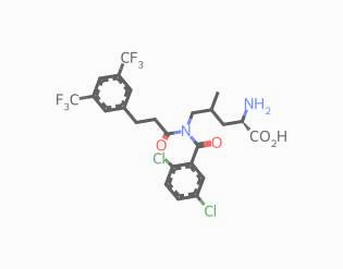 CC(C[C@@H](N)C(=O)O)CN(C(=O)CCc1cc(C(F)(F)F)cc(C(F)(F)F)c1)C(=O)c1cc(Cl)ccc1Cl